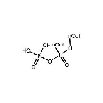 CCCCCCCC[O][Ti](=[O])([CH2]CCCCCCC)[O]P(=O)(O)O